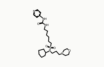 O=C(NCCCCCCS(=O)(=O)N(CCCN1CCOCC1)C1CCCCC1)Nc1ccncc1